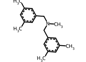 Cc1cc(C)cc(CN(C)Cc2cc(C)cc(C)c2)c1